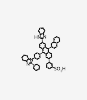 O=S(=O)(O)c1cccc(-c2ccc3c(-c4ccc5ccccc5c4)c4cc(-c5nc6ccccc6[nH]5)ccc4c(-c4ccc(-n5c(-c6ccccc6)nc6ccccc65)cc4)c3c2)c1